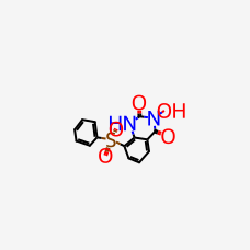 O=c1[nH]c2c(S(=O)(=O)c3ccccc3)cccc2c(=O)n1O